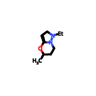 CCN1CC=C2OC(C)CCN21